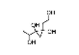 CC(O)C1(O)CC1(O)CCO